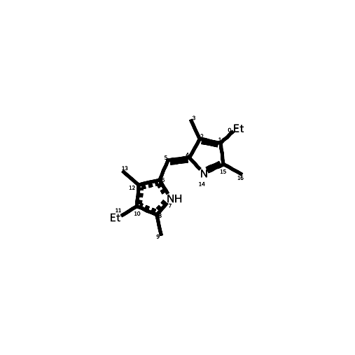 CCC1=C(C)C(=Cc2[nH]c(C)c(CC)c2C)N=C1C